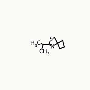 CC(C)C1=NC2(CCC2)CS1